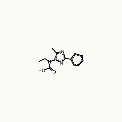 CCN(C(=O)O)n1nc(-c2ccccc2)nc1C